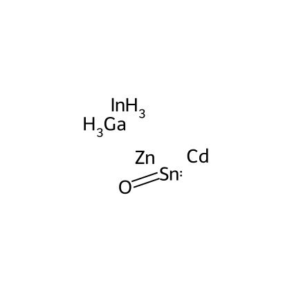 [Cd].[GaH3].[InH3].[O]=[Sn].[Zn]